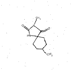 CC1CCC2(CC1)NC(=O)N(C)C2=O